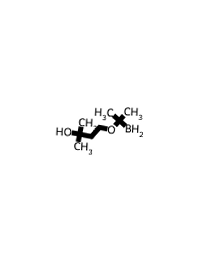 BC(C)(C)OCCC(C)(C)O